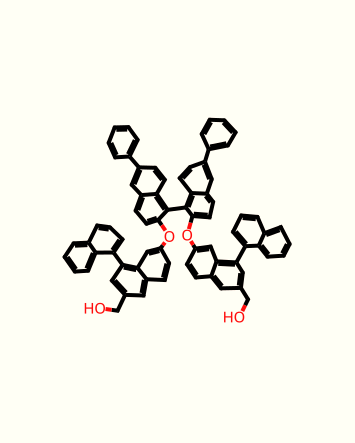 OCc1cc(-c2cccc3ccccc23)c2cc(Oc3ccc4cc(-c5ccccc5)ccc4c3-c3c(Oc4ccc5cc(CO)cc(-c6cccc7ccccc67)c5c4)ccc4cc(-c5ccccc5)ccc34)ccc2c1